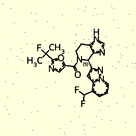 CC(C)(F)c1ncc(C(=O)N2CCc3[nH]cnc3[C@H]2c2cc3c(C(F)F)cccn3n2)o1